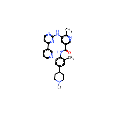 CCN1CCC(c2ccc(NC(=O)c3cnc(C)c(Nc4nccc(-c5cccnc5)n4)c3)c(C(F)(F)F)c2)CC1